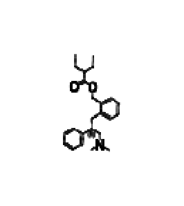 CCC(CC)C(=O)OCc1ccccc1C[C@@H](CN(C)C)c1ccccc1